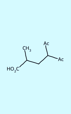 CC(=O)C(CC(C)C(=O)O)C(C)=O